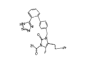 CCC(=O)n1c(F)c(CCC(C)C)n(Cc2ccc(-c3ccccc3-c3nnn[nH]3)cc2)c1=O